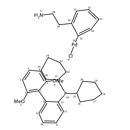 COc1cccc(OC)c1-c1ccccc1P(C1CCCCC1)C1CCCCC1.NCCc1cccc[c]1[Pd][Cl]